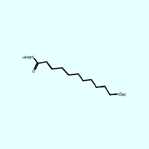 CCCCCCCCCCCCCCCCCCCCC(=O)CCCCCCC